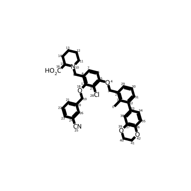 Cc1c(COc2ccc(CN3CCCCC3C(=O)O)c(OCc3cccc(C#N)c3)c2Cl)cccc1-c1ccc2c(c1)OCCO2